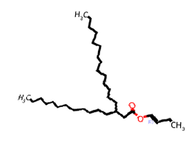 CC/C=C/OC(=O)CC(CCCCCCCCCCCC)CCCCCCCCCCCCCC